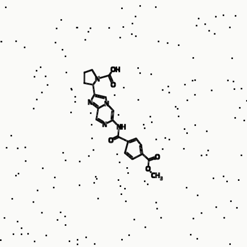 COC(=O)c1ccc(C(=O)Nc2cn3cc(C4CCCN4C(=O)O)nc3cn2)cc1